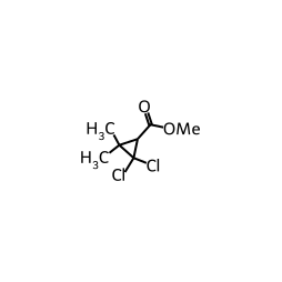 COC(=O)C1C(C)(C)C1(Cl)Cl